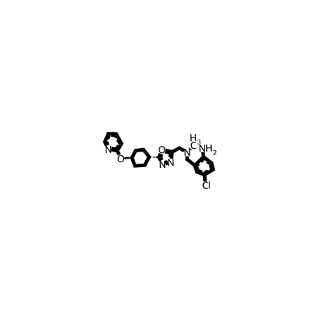 CN(Cc1nnc([C@H]2CC[C@H](Oc3ccccn3)CC2)o1)Cc1cc(Cl)ccc1N